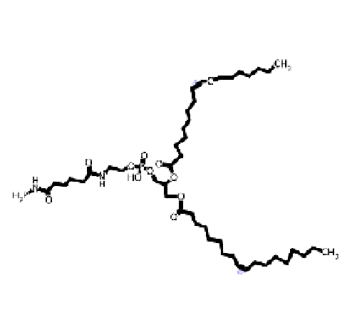 CCCCCCCC/C=C\CCCCCCCC(=O)OCC(COP(=O)(O)OCCNC(=O)CCCCC(=O)NP)OC(=O)CCCCCCC/C=C\CCCCCCCC